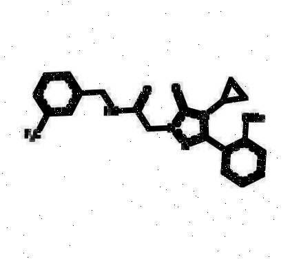 COc1ccccc1-c1nn(CC(=O)NCc2cccc(C(F)(F)F)c2)c(=O)n1C1CC1